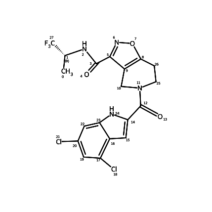 C[C@@H](NC(=O)c1noc2c1CN(C(=O)c1cc3c(Cl)cc(Cl)cc3[nH]1)CC2)C(F)(F)F